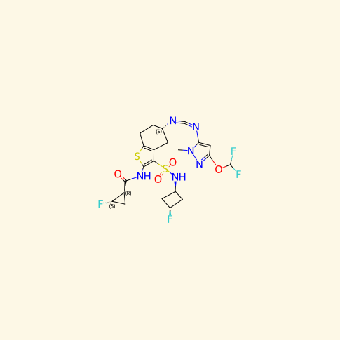 Cn1nc(OC(F)F)cc1N=C=N[C@H]1CCc2sc(NC(=O)[C@H]3C[C@@H]3F)c(S(=O)(=O)N[C@H]3C[C@@H](F)C3)c2C1